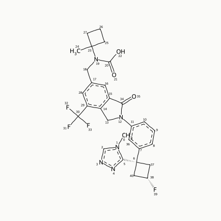 Cn1cnnc1[C@]1(c2cccc(N3Cc4c(cc(CN(C(=O)O)C5(C)CCC5)cc4C(F)(F)F)C3=O)c2)C[C@H](F)C1